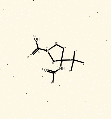 CC(=O)NC1(C(C)(C)C)CCN(C(=O)O)C1